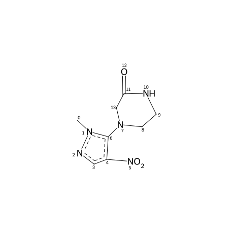 Cn1ncc([N+](=O)[O-])c1N1CCNC(=O)C1